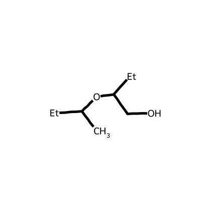 CCC(C)OC(CC)CO